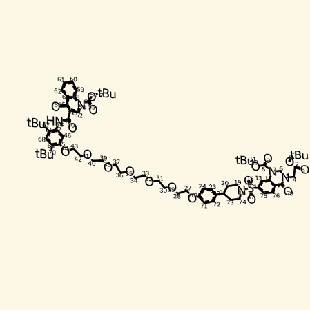 CC(C)(C)OC(=O)CN1CN(C(=O)OC(C)(C)C)c2cc(S(=O)(=O)N3CCC(c4ccc(OCCOCCOCCOCCOCCOCCOc5cc(NC(=O)c6cn(C(=O)OC(C)(C)C)c7ccccc7c6=O)c(C(C)(C)C)cc5C(C)(C)C)cc4)CC3)ccc2C1=O